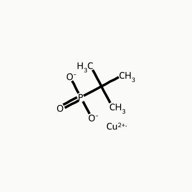 CC(C)(C)P(=O)([O-])[O-].[Cu+2]